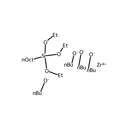 CCCCCCCC[Si](OCC)(OCC)OCC.CCCC[O-].CCCC[O-].CCCC[O-].CCCC[O-].[Zr+4]